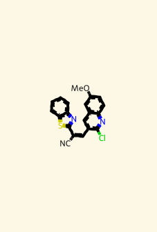 COc1ccc2nc(Cl)c(C=C(C#N)c3nc4ccccc4s3)cc2c1